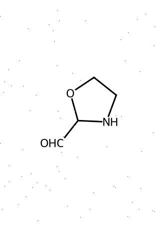 O=CC1NCCO1